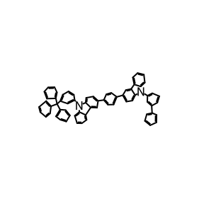 c1ccc(-c2cccc(-n3c4ccccc4c4cc(-c5ccc(-c6ccc7c(c6)c6ccccc6n7-c6cccc(C(c7ccccc7)(c7ccccc7)c7ccccc7)c6)cc5)ccc43)c2)cc1